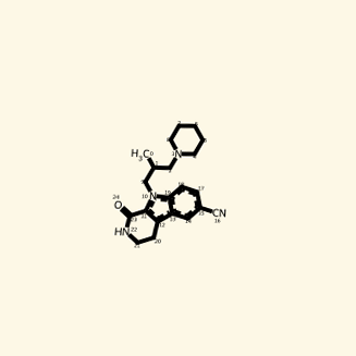 CC(CN1CCCCC1)Cn1c2c(c3cc(C#N)ccc31)CCNC2=O